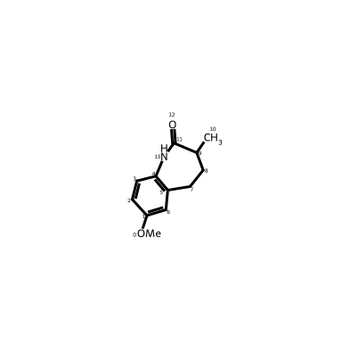 COc1ccc2c(c1)CCC(C)C(=O)N2